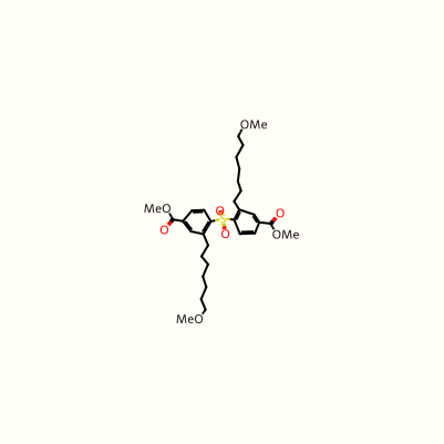 COCCCCCCCc1cc(C(=O)OC)ccc1S(=O)(=O)c1ccc(C(=O)OC)cc1CCCCCCCOC